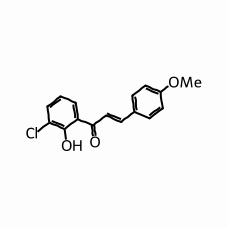 COc1ccc(C=CC(=O)c2cccc(Cl)c2O)cc1